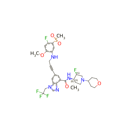 COc1cc(F)c(S(C)(=O)=O)cc1NCC#Cc1cc(C(=O)N[C@@H]2[C@@H](C)CN(C3CCOCC3)C[C@@H]2F)c2ncn(CC(F)(F)F)c2c1